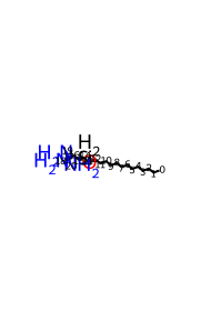 CCCCCCCCCCCCCO[SiH2]CCC(N)(N)N